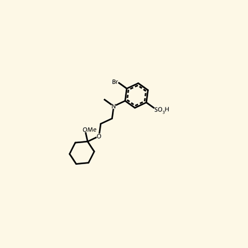 COC1(OCCN(C)c2cc(S(=O)(=O)O)ccc2Br)CCCCC1